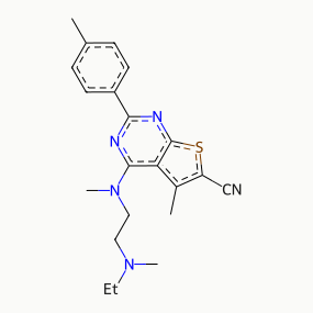 CCN(C)CCN(C)c1nc(-c2ccc(C)cc2)nc2sc(C#N)c(C)c12